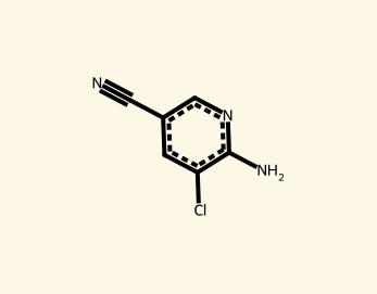 N#Cc1cnc(N)c(Cl)c1